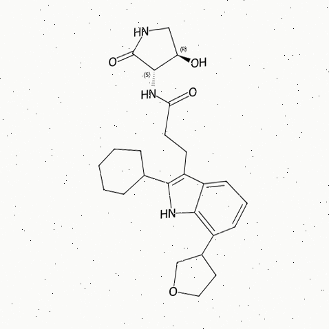 O=C(CCc1c(C2CCCCC2)[nH]c2c(C3CCOC3)cccc12)N[C@@H]1C(=O)NC[C@H]1O